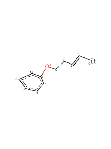 CCC=CCCOc1c[c]ccc1